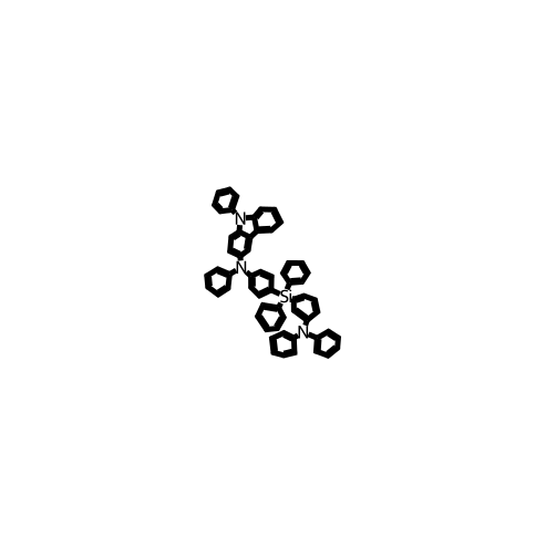 c1ccc(N(c2ccccc2)c2cccc([Si](c3ccccc3)(c3ccccc3)c3ccc(N(c4ccccc4)c4ccc5c(c4)c4ccccc4n5-c4ccccc4)cc3)c2)cc1